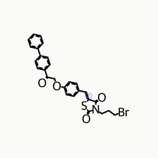 O=C(COc1ccc(/C=C2\SC(=O)N(CCCBr)C2=O)cc1)c1ccc(-c2ccccc2)cc1